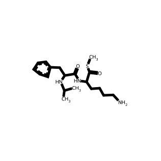 CSC(=O)C(CCCCN)NC(=O)C(Cc1ccccc1)NC(C)C